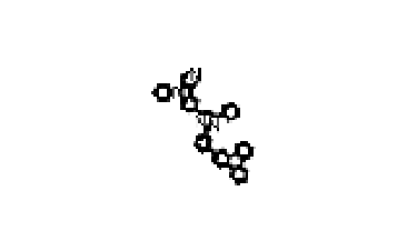 c1ccc(-c2cc(-c3ccc4c(c3)c3cnccc3n4-c3ccccc3)nc(-c3cccc(-c4ccc5c6ccccc6c6ccccc6c5c4)c3)n2)cc1